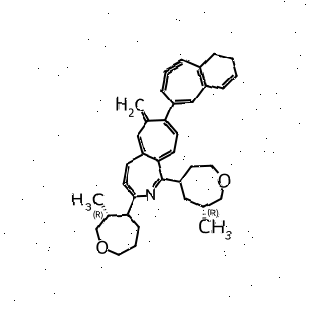 C=C1C=C2C=C=C(C3CCCOC[C@@H]3C)N=C(C3CCOC[C@H](C)C3)C2=CC=C1C1=CC2=C(C=C=C1)CCC=C2